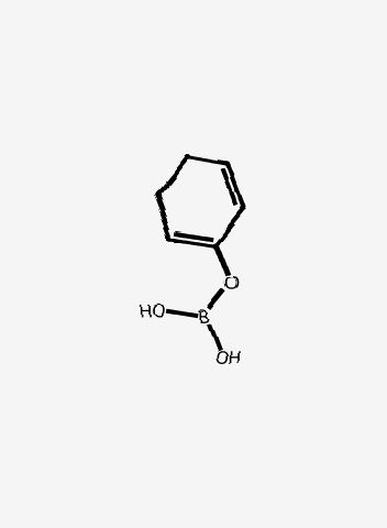 OB(O)OC1=CCCC=C1